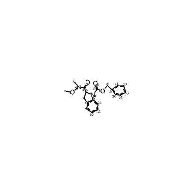 CON(C)C(=O)C1Cc2ccccc2N1C(=O)OCc1ccccc1